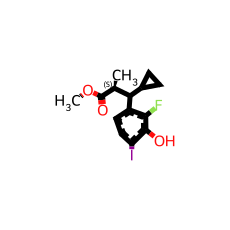 COC(=O)[C@@H](C)C(c1ccc(I)c(O)c1F)C1CC1